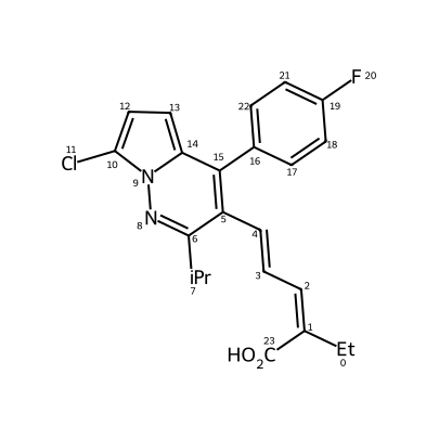 CCC(=CC=Cc1c(C(C)C)nn2c(Cl)ccc2c1-c1ccc(F)cc1)C(=O)O